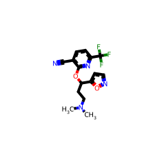 CN(C)CCC(Oc1nc(C(F)(F)F)ccc1C#N)c1ccno1